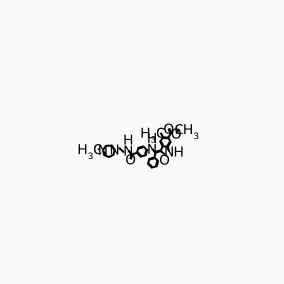 COC(=O)c1cc2c(cc1C)/C(=C(\Nc1ccc(C(=O)NCCN3CCCN(C)CC3)cc1)c1ccccc1)C(=O)N2